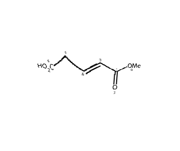 COC(=O)C=CCC(=O)O